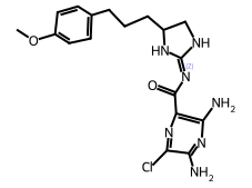 COc1ccc(CCCC2CN/C(=N/C(=O)c3nc(Cl)c(N)nc3N)N2)cc1